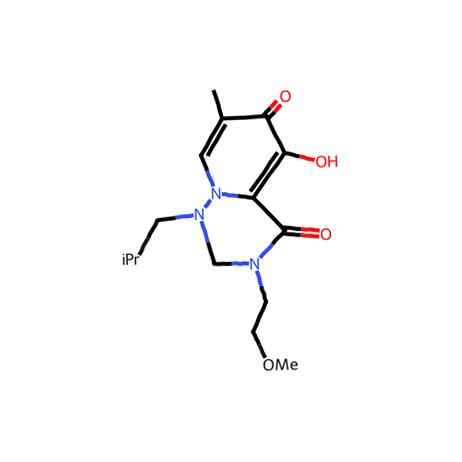 COCCN1CN(CC(C)C)n2cc(C)c(=O)c(O)c2C1=O